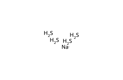 S.S.S.S.[Na]